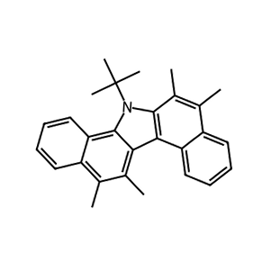 Cc1c(C)c2c(c3ccccc13)c1c(C)c(C)c3ccccc3c1n2C(C)(C)C